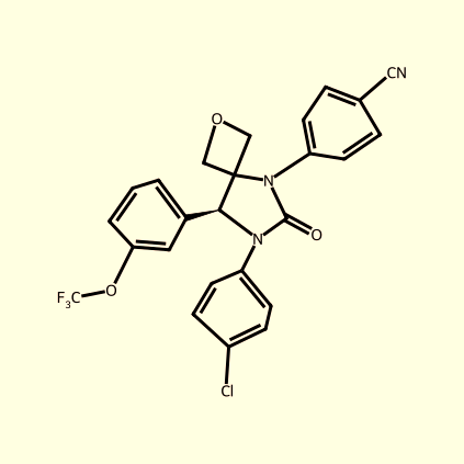 N#Cc1ccc(N2C(=O)N(c3ccc(Cl)cc3)[C@@H](c3cccc(OC(F)(F)F)c3)C23COC3)cc1